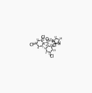 Clc1ccc(C2(c3ccc(Cl)cc3Cl)OC2n2ccnc2)c(Cl)c1